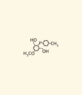 COc1cc(CO)c([I+]c2ccc(C)cc2)c(CO)c1